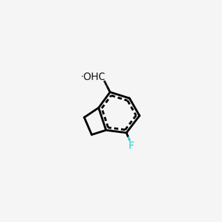 O=[C]c1ccc(F)c2c1CC2